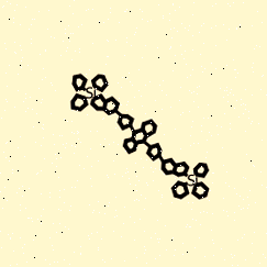 c1ccc([Si](c2ccccc2)(c2ccccc2)c2ccc3cc(-c4ccc(-c5c6ccccc6c(-c6ccc(-c7ccc8cc([Si](c9ccccc9)(c9ccccc9)c9ccccc9)ccc8c7)cc6)c6ccccc56)cc4)ccc3c2)cc1